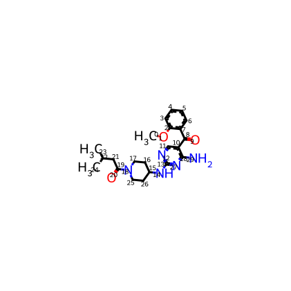 COc1ccccc1C(=O)c1cnc(NC2CCN(C(=O)CC(C)C)CC2)nc1N